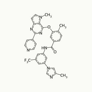 Cc1cn(-c2cc(NC(=O)c3ccc(C)c(Oc4nc(-c5ccncc5)nc5ccn(C)c45)c3)cc(C(F)(F)F)c2)cn1